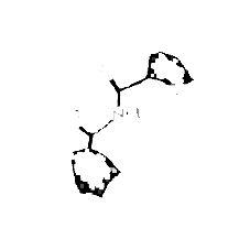 O=C(NC(=O)c1cccs1)c1cccs1